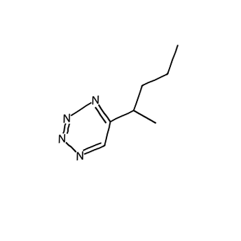 CCCC(C)c1cnnnn1